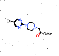 CCc1cnc(N2CCN(CC(=O)OC)CC2)nc1